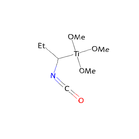 CC[CH](N=C=O)[Ti]([O]C)([O]C)[O]C